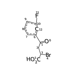 O=C(CC(Br)C(=O)O)c1cccc(F)c1